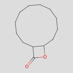 O=C1OC2CCCCCCCCCCC12